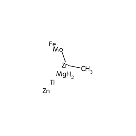 [CH3][Zr][Mo].[Fe].[MgH2].[Ti].[Zn]